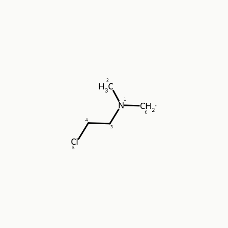 [CH2]N(C)CCCl